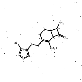 CC(C)(C)c1snnc1SCC1=C(C(=O)O)N2C(=O)C(N)C2SC1